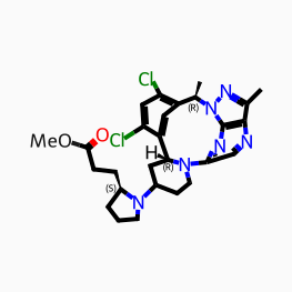 COC(=O)CC[C@@H]1CCCN1C1CCN2c3cnc4c(C)nn(c4n3)[C@H](C)c3cc(c(Cl)cc3Cl)[C@H]2C1